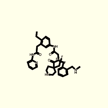 CCc1ccc(NC(=O)CN(Cc2ccccc2CNC)C(=O)C2(CC(F)(F)F)CCNCC2)cc1CC(=O)Nc1ccccn1